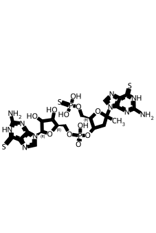 CC1(n2cnc3c(=S)[nH]c(N)nc32)CC(OP(=O)(O)OC[C@H]2O[C@@H](n3cnc4c(=S)[nH]c(N)nc43)C(O)C2O)[C@@H](COP(O)(O)=S)O1